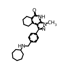 Cn1nc(-c2ccc(CNC3CCCCCC3)cc2)c2c3c(c(=O)[nH]c21)CCCC3